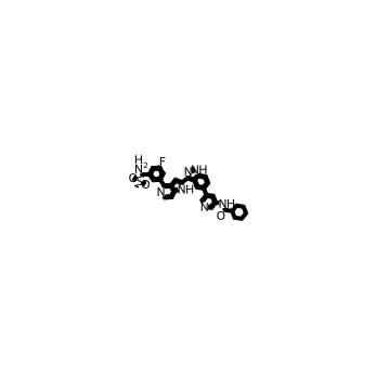 CS(=O)(=O)C(N)c1cc(F)cc(-c2nccc3[nH]c(-c4n[nH]c5ccc(-c6cncc(NC(=O)C7CCCCC7)c6)cc45)cc23)c1